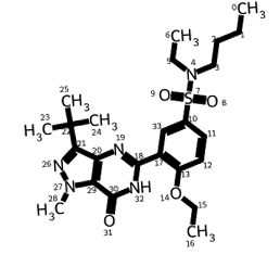 CCCCN(CC)S(=O)(=O)c1ccc(OCC)c(-c2nc3c(C(C)(C)C)nn(C)c3c(=O)[nH]2)c1